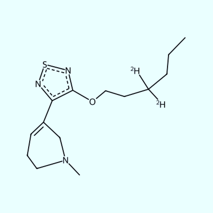 [2H]C([2H])(CCC)CCOc1nsnc1C1=CCCN(C)C1